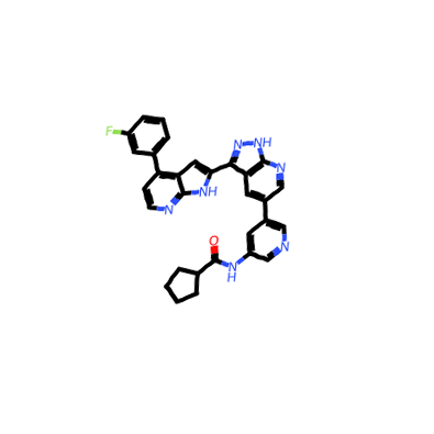 O=C(Nc1cncc(-c2cnc3[nH]nc(-c4cc5c(-c6cccc(F)c6)ccnc5[nH]4)c3c2)c1)C1CCCC1